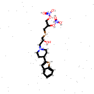 O=[N+]([O-])OCC(CSC[C@@H](O)CN1CCC(c2cc3ccccc3s2)CC1)O[N+](=O)[O-]